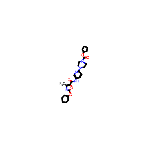 O=C(Nc1ccc(N2CCN(C(=O)OC3CCCC3)CC2)nc1)c1oc(OC2CCCCC2)nc1C(F)(F)F